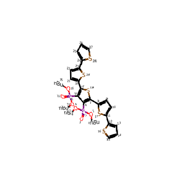 CCCCOP(=O)(OCCCC)c1c(-c2ccc(-c3cccs3)s2)sc(-c2ccc(-c3cccs3)s2)c1P(=O)(OCCCC)OCCCC